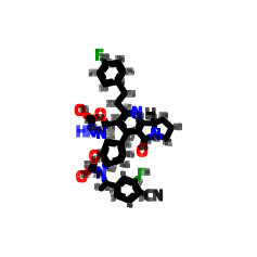 CC(c1ccc(C#N)c(F)c1)n1c(=O)oc2cc(-c3c4c(nc(CCc5ccc(F)cc5)c3-c3n[nH]c(=O)o3)[C@@H]3CCCN3C4=O)ccc21